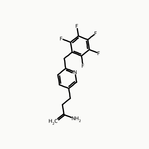 C=C(N)CCc1ccc(Cc2c(F)c(F)c(F)c(F)c2F)nc1